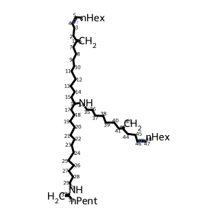 C=C(CC/C=C\CCCCCC)CCCCCCCCCC(CCCCCCCCCCCCCNC(=C)CCCCC)NCCCCCCCC(=C)CC/C=C\CCCCCC